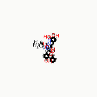 CC(C)(C)OC(=O)N[C@@H](Cc1ccc(O)c(O)c1)C(=O)N[C@@H](Cc1ccc(O)cc1)C(=O)OCc1ccccc1